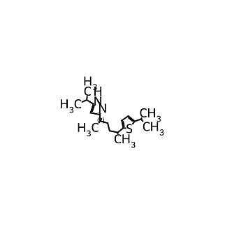 CC(C)c1cc([C@H](C)CCC(C)c2ccc(C(C)C)s2)n[nH]1